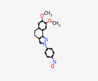 COc1cc2c(cc1OC)-c1nn(-c3ccc(N=O)cc3)cc1CC2